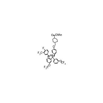 COC(=O)C1CCC(COc2ccc(CC(NC(=O)c3ccc(F)c(C(F)(F)F)c3)(c3cccc(OC(F)(F)F)c3)c3cccc(OC(F)(F)F)c3)cc2)CC1